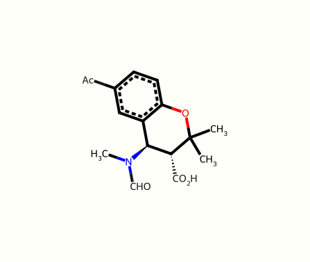 CC(=O)c1ccc2c(c1)[C@H](N(C)C=O)[C@@H](C(=O)O)C(C)(C)O2